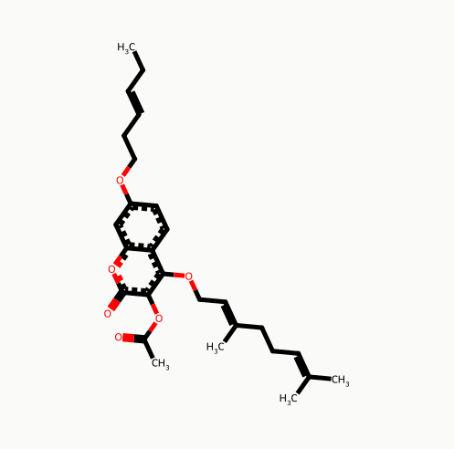 CCC=CCCOc1ccc2c(OC/C=C(\C)CCC=C(C)C)c(OC(C)=O)c(=O)oc2c1